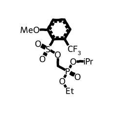 CCOP(=O)(COS(=O)(=O)c1c(OC)cccc1C(F)(F)F)OC(C)C